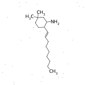 CCCCCCC/C=C/C1CCC(C)(C)CC1N